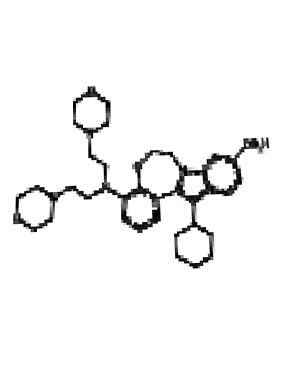 O=C(O)c1ccc2c(C3CCCCC3)c3n(c2c1)CCOc1c-3cccc1N(CCN1CCOCC1)CCN1CCOCC1